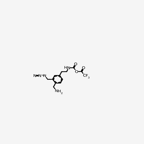 [N-]=[N+]=NCc1cc(CCNC(=O)OC(=O)C(F)(F)F)ccc1CN